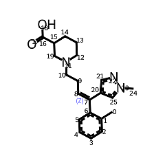 Cc1ccccc1/C(=C/CCN1CCCC(C(=O)O)C1)c1cnn(C)c1